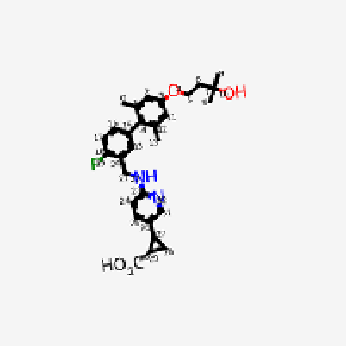 Cc1cc(OCCC(C)(C)O)cc(C)c1-c1ccc(F)c(CNc2ccc(C3C[C@H]3C(=O)O)cn2)c1